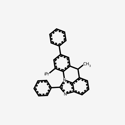 CC(C)c1cc(-c2ccccc2)cc2c1-n1c(-c3ccccc3)nc3cccc(c31)C2C